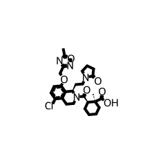 Cc1nc(COc2ccc(Cl)c3c2[C@@H](CCN2CCCC2=O)N(C(=O)[C@@H]2CCCC[C@]2(C)C(=O)O)CC3)no1